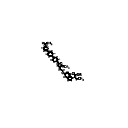 CCC(C(=O)O)[C@@H]1CCC2=C1C=CC(OCCc1nc(-c3ccc(-c4ccc(-c5ccc(C(C)=O)s5)cc4)cc3)oc1C)C2